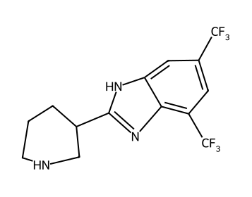 FC(F)(F)c1cc(C(F)(F)F)c2nc(C3CCCNC3)[nH]c2c1